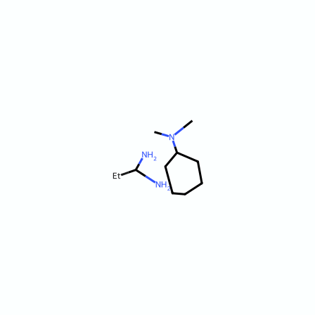 CCC(N)N.CN(C)C1CCCCC1